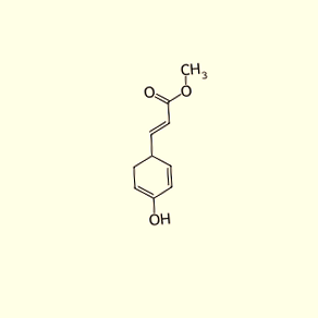 COC(=O)C=CC1C=CC(O)=CC1